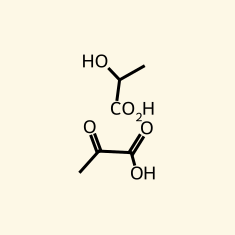 CC(=O)C(=O)O.CC(O)C(=O)O